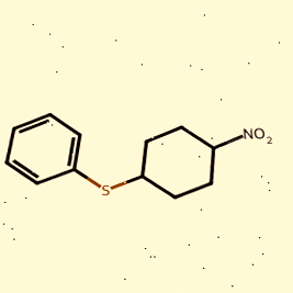 O=[N+]([O-])C1CCC(Sc2ccccc2)CC1